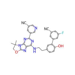 CC1(C)COc2nc3c(NCCc4ccc(O)c(-c5cc(F)cc(C#N)c5)c4)nc(-c4cncc(C#N)c4)nc3n21